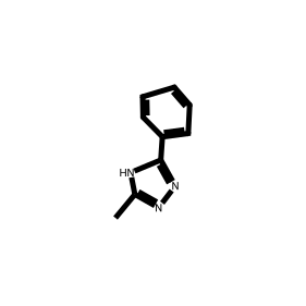 Cc1nnc(-c2ccccc2)[nH]1